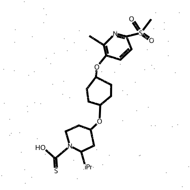 Cc1nc(S(C)(=O)=O)ccc1OC1CCC(OC2CCN(C(O)=S)C(C(C)C)C2)CC1